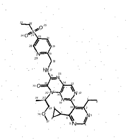 CCc1ncnc(C2CC2)c1-c1ncc2nc(NCc3ccc(S(=O)(=O)CC)cn3)c(=O)n([C@H](C)COC)c2n1